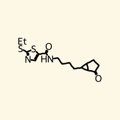 CCSc1ncc(C(=O)NCCCCC2C3CCC(=O)C23)s1